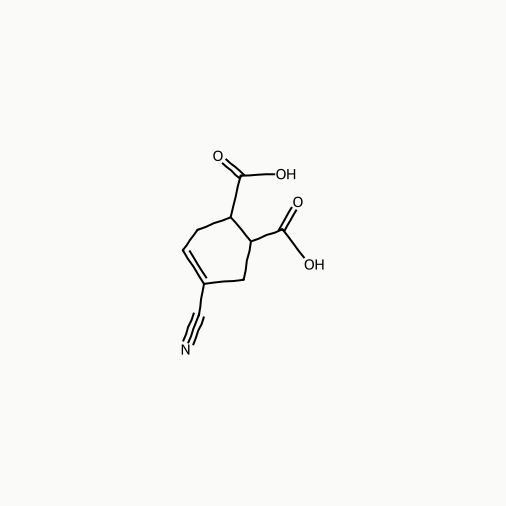 N#CC1=CCC(C(=O)O)C(C(=O)O)C1